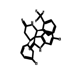 O=C1Nc2cc(Cl)ccc2[C@]12[C@H](c1ccccc1C(F)(F)F)NC(=S)C[C@H]2C1C=CC=C(Cl)C1